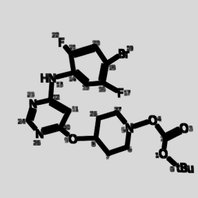 CC(C)(C)OC(=O)ON1CCC(Oc2cc(Nc3cc(F)c(Br)cc3F)ncn2)CC1